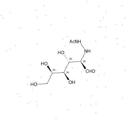 CC(=O)NN[C@@H](C=O)[C@@H](O)[C@@H](O)[C@H](O)CO